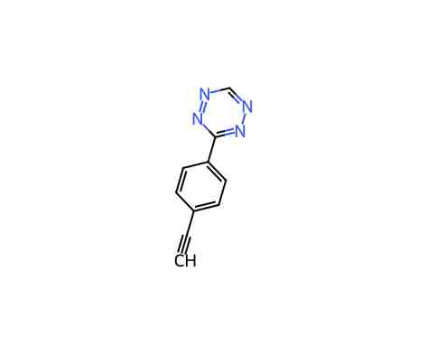 C#Cc1ccc(-c2nncnn2)cc1